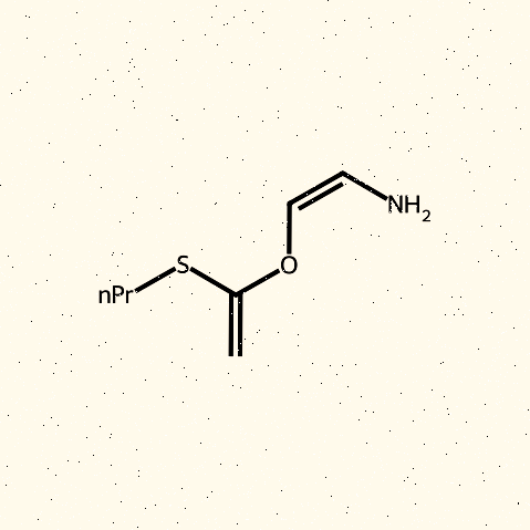 C=C(O/C=C\N)SCCC